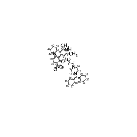 CC1=C(C(=O)OCCN2CCN(C(c3ccccc3)c3ccccc3)CC2)C(c2cccc([N+](=O)[O-])c2)C(c2ccccn2)=C(C)N1